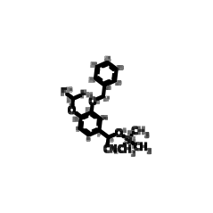 C[Si](C)(C)OC(C#N)c1ccc(OC(F)F)c(OCc2ccccc2)c1